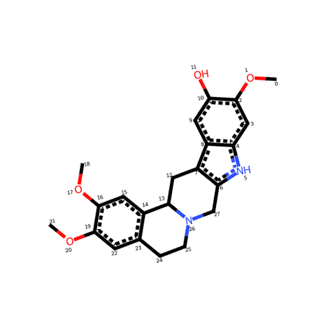 COc1cc2[nH]c3c(c2cc1O)CC1c2cc(OC)c(OC)cc2CCN1C3